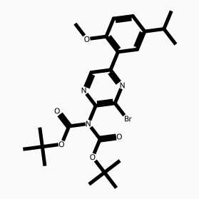 COc1ccc(C(C)C)cc1-c1cnc(N(C(=O)OC(C)(C)C)C(=O)OC(C)(C)C)c(Br)n1